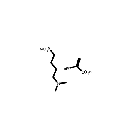 C=C(CCC)C(=O)O.CN(C)CCCCS(=O)(=O)O